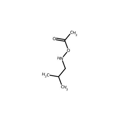 CC(=O)ONCC(C)C